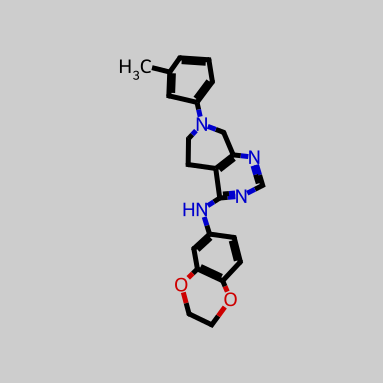 Cc1cccc(N2CCc3c(ncnc3Nc3ccc4c(c3)OCCO4)C2)c1